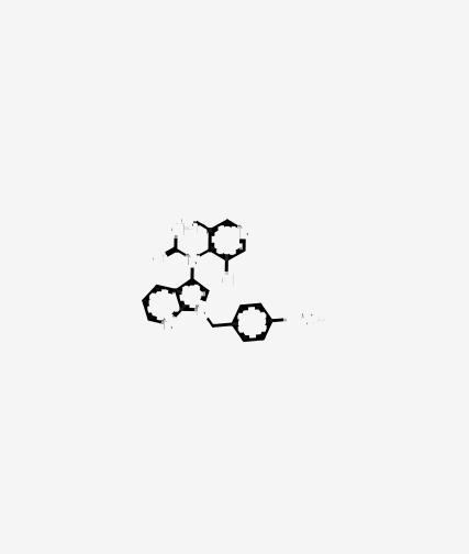 COc1ccc(Cn2cc(N(C(=O)C=O)c3c(Cl)cncc3Cl)c3cccnc32)cc1